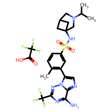 Cc1ccc(S(=O)(=O)NC23CC(CN(C(C)C)C2)C3)cc1-c1cnc2c(N)nc(C(F)(F)F)nn12.O=C(O)C(F)(F)F